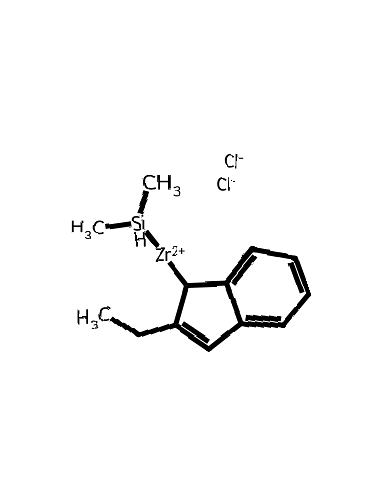 CCC1=Cc2ccccc2[CH]1[Zr+2][SiH](C)C.[Cl-].[Cl-]